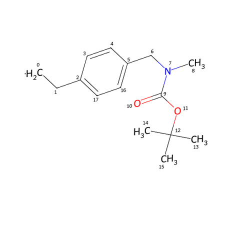 [CH2]Cc1ccc(CN(C)C(=O)OC(C)(C)C)cc1